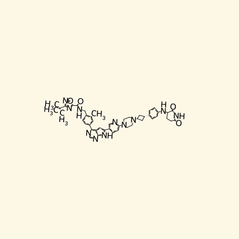 Cc1cc(-c2ncnc3[nH]c(-c4ccc(N5CCN([C@H]6C[C@@H](c7ccc(N[C@@H]8CCC(=O)NC8=O)cc7)C6)CC5)nc4)cc23)ccc1CNC(=O)c1nc(C(C)(C)C)no1